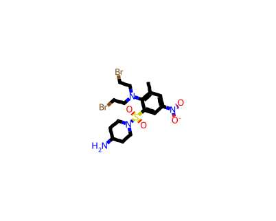 Cc1cc([N+](=O)[O-])cc(S(=O)(=O)N2CCC(N)CC2)c1N(CCBr)CCBr